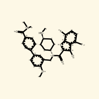 CN[C@H]1CC[C@H](N(Cc2cc(-c3ccc(C(=O)N(C)C)cc3)ccc2OC)C(=O)c2sc3c(F)ccc(F)c3c2Cl)CC1